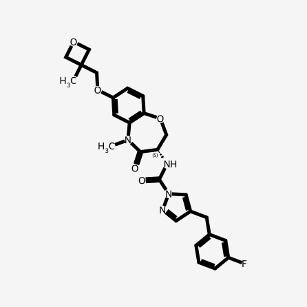 CN1C(=O)[C@@H](NC(=O)n2cc(Cc3cccc(F)c3)cn2)COc2ccc(OCC3(C)COC3)cc21